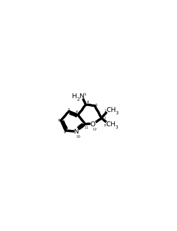 CC1(C)CC(N)c2cccnc2O1